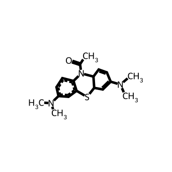 CC(=O)N1c2ccc(N(C)C)cc2SC2C=C(N(C)C)C=CC21